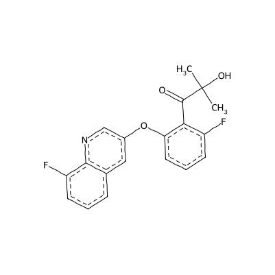 CC(C)(O)C(=O)c1c(F)cccc1Oc1cnc2c(F)cccc2c1